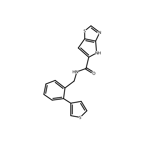 O=C(NCc1ccccc1-c1ccsc1)c1cc2scnc2[nH]1